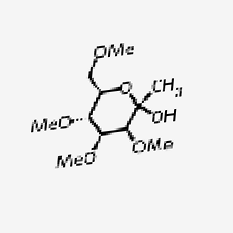 COC[C@H]1O[C@](C)(O)[C@@H](OC)[C@@H](OC)[C@@H]1OC